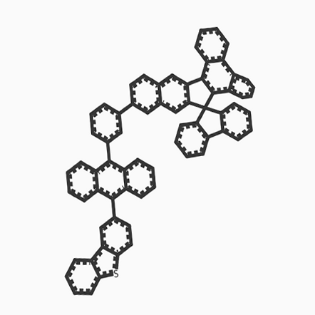 c1cc(-c2ccc3cc4c(cc3c2)C2(c3ccccc3-c3ccccc32)c2c-4c3ccccc3c3ccccc23)cc(-c2c3ccccc3c(-c3ccc4sc5ccccc5c4c3)c3ccccc23)c1